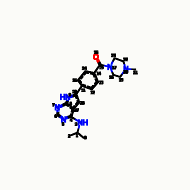 CC(C)Nc1ncnc2[nH]c(-c3ccc(C(=O)N4CCN(C)CC4)cc3)cc12